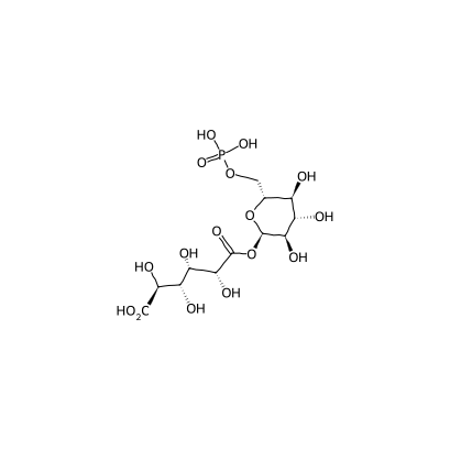 O=C(O)[C@@H](O)[C@@H](O)[C@H](O)[C@@H](O)C(=O)O[C@H]1O[C@H](COP(=O)(O)O)[C@@H](O)[C@H](O)[C@H]1O